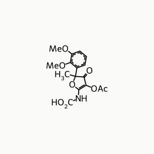 COc1cccc(C2(C)OC(NC(=O)O)=C(OC(C)=O)C2=O)c1OC